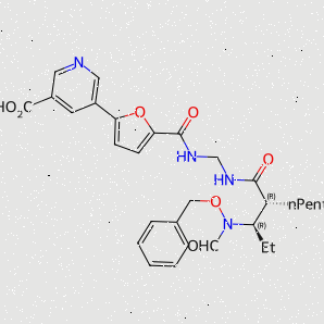 CCCCC[C@@H](C(=O)NCNC(=O)c1ccc(-c2cncc(C(=O)O)c2)o1)[C@@H](CC)N(C=O)OCc1ccccc1